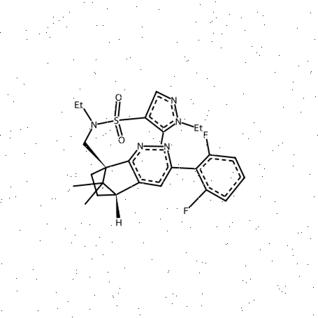 CCN(C[C@@]12CC[C@@H](c3cc(-c4c(F)cccc4F)nnc31)C2(C)C)S(=O)(=O)c1cnn(CC)c1C